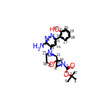 CC(C)(C)OC(=O)N1CC2(C1)CN(c1cc(-c3ccccc3O)nnc1N)CCO2